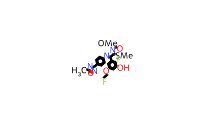 COC(=O)/N=C(SC)/C(=N/c1ccc(-c2noc(C)n2)cc1)c1cc(OCCF)cc(O)c1F